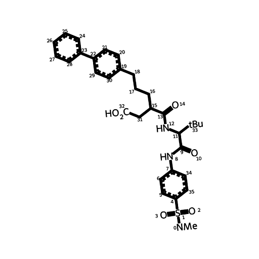 CNS(=O)(=O)c1ccc(NC(=O)C(NC(=O)C(CCCc2ccc(-c3ccccc3)cc2)CC(=O)O)C(C)(C)C)cc1